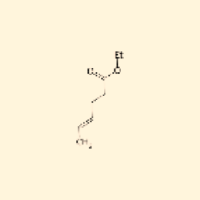 C/C=C/CCC(=O)OCC